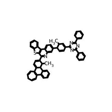 CC1C=C(c2nc(-c3ccccc3)nc(-c3ccccc3)n2)C=CC1c1ccc2c(c1)nc(C1=CC=C3C4=C(C=CCC=C4)c4ccccc4C3C1C)c1sc3ccccc3c12